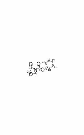 O=C1COCN1C(=O)Oc1ccccc1